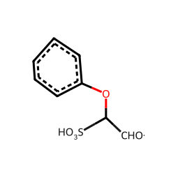 O=[C]C(Oc1ccccc1)S(=O)(=O)O